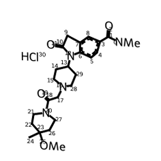 CNC(=O)c1ccc2c(c1)CC(=O)N2C1CCN(CC(=O)N2CCC(C)(OC)CC2)CC1.Cl